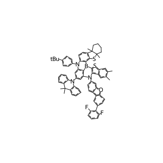 Cc1cc2sc3c(c2cc1C)N(c1ccc2c(c1)oc1ccc(-c4c(F)cccc4F)cc12)c1cc(N2c4ccccc4C(C)(C)c4ccccc42)cc2c1B3c1c(ccc3c1SC1(C)CCCCC31C)N2c1ccc(C(C)(C)C)cc1